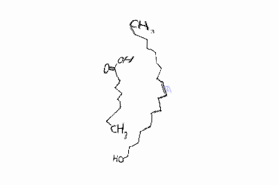 CCCCCCCC(=O)O.CCCCCCCC/C=C\CCCCCCCCO